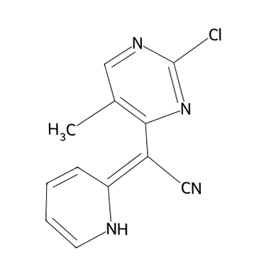 Cc1cnc(Cl)nc1C(C#N)=C1C=CC=CN1